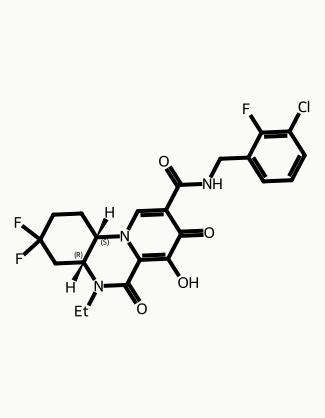 CCN1C(=O)c2c(O)c(=O)c(C(=O)NCc3cccc(Cl)c3F)cn2[C@H]2CCC(F)(F)C[C@H]21